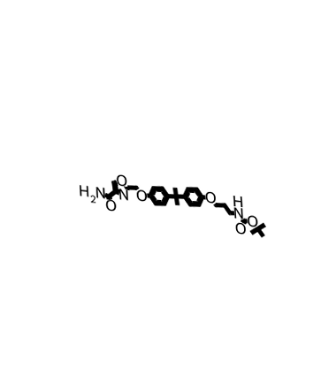 CC(C)(C)OC(=O)NCCCOc1ccc(C(C)(C)c2ccc(OCc3nc(C(N)=O)co3)cc2)cc1